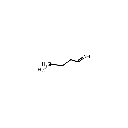 C[SiH2]CCC=N